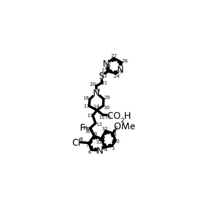 COc1ccc2ncc(Cl)c([C@H](F)CCC3(CC(=O)O)CCN(CCSc4cnccn4)CC3)c2c1